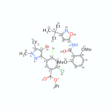 CC(C)OC(=O)c1cc(-c2nn(C)c(C(F)(F)F)c2Br)c(F)cc1Cl.CCC(C)(CC)c1cc(NC(=O)c2c(OC)cccc2OC)on1